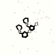 Clc1cccc(CN2CCCCC2)c1.Clc1cccc(CN2CCCCC2)c1